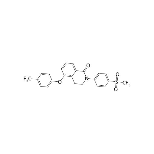 O=C1c2cccc(Oc3ccc(C(F)(F)F)cc3)c2CCN1c1ccc(S(=O)(=O)C(F)(F)F)cc1